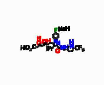 CC(C)c1c(C(=O)NCC2CCC(C(F)(F)F)NC2)nn(-c2ccc(F)cc2)c1CC[C@@H](O)C[C@@H](O)CC(=O)O.[NaH]